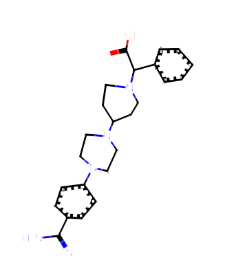 N=C(N)c1ccc(N2CCN(C3CCN(C(C(=O)O)c4ccccc4)CC3)CC2)cc1